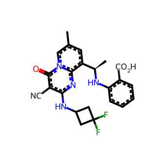 Cc1cc([C@@H](C)Nc2ccccc2C(=O)O)c2nc(NC3CC(F)(F)C3)c(C#N)c(=O)n2c1